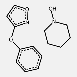 ON1CCCCC1.c1ccc(Oc2ccon2)cc1